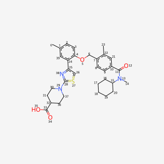 Cc1ccc(OCc2ccc(C(=O)N(C)C3CCCCC3)cc2C)c(-c2csc(N3CCC(C(=O)O)CC3)n2)c1